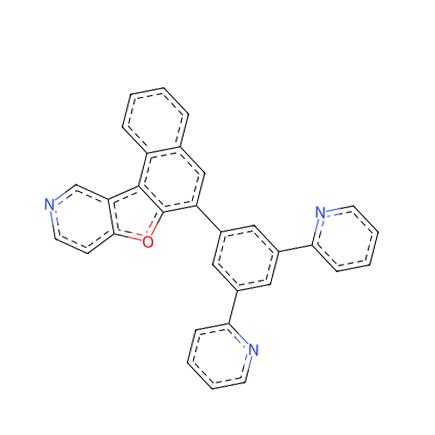 c1ccc(-c2cc(-c3ccccn3)cc(-c3cc4ccccc4c4c3oc3ccncc34)c2)nc1